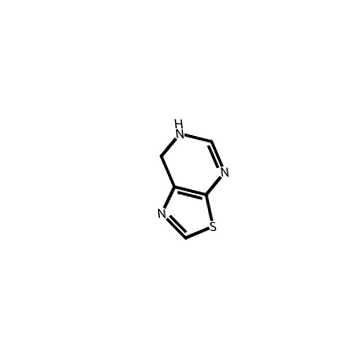 C1=Nc2scnc2CN1